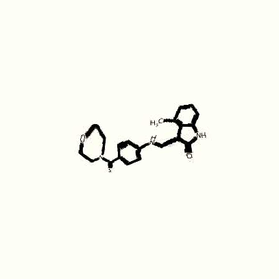 Cc1cccc2c1/C(=C\Nc1ccc(C(=S)N3CCOCC3)cc1)C(=O)N2